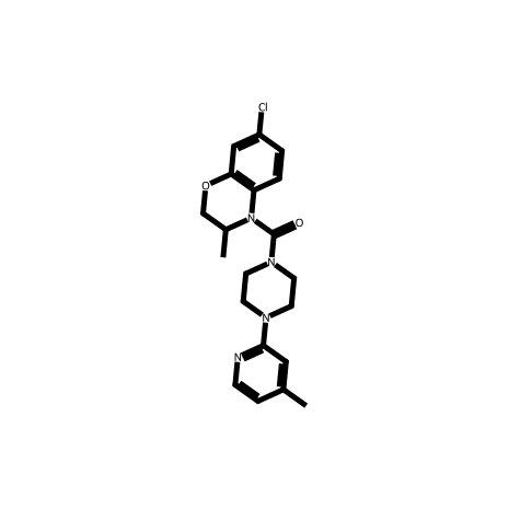 Cc1ccnc(N2CCN(C(=O)N3c4ccc(Cl)cc4OCC3C)CC2)c1